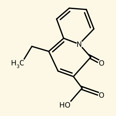 CCc1cc(C(=O)O)c(=O)n2ccccc12